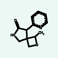 CC1OCC12CNC(=O)C2c1ccccn1